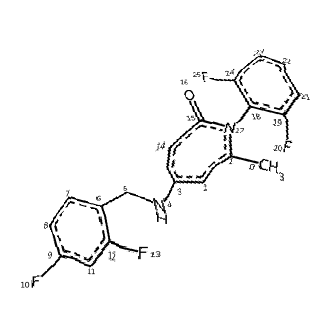 Cc1cc(NCc2ccc(F)cc2F)cc(=O)n1-c1c(F)cccc1F